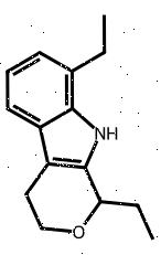 CC[C]1OCCc2c1[nH]c1c(CC)cccc21